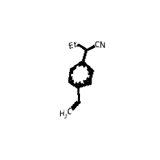 C=Cc1ccc(C(C#N)CC)cc1